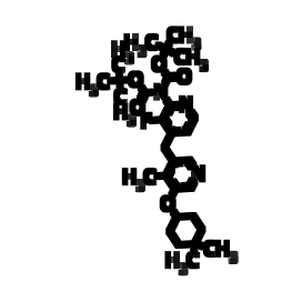 Cc1c(Cc2ccnc(N(C(=O)OC(C)(C)C)C(=O)OC(C)(C)C)c2F)cncc1OC1CCC(C)(C)CC1